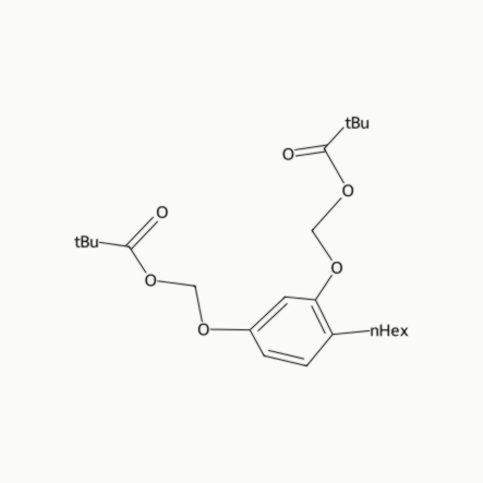 CCCCCCc1ccc(OCOC(=O)C(C)(C)C)cc1OCOC(=O)C(C)(C)C